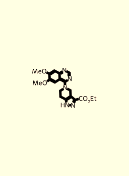 CCOC(=O)c1n[nH]c2c1CN(c1ncnc3cc(OC)c(OC)cc13)CC2